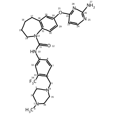 CN1CCN(Cc2ccc(NC(=O)N3CCCCc4cc(Oc5ccnc(N)n5)ccc43)cc2C(F)(F)F)CC1